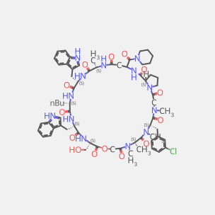 CCCC[C@@H]1NC(=O)[C@H](Cc2c[nH]c3ccccc23)NC(=O)[C@H](C)NC(=O)CC(C(=O)N2CCCCC2)NC(=O)[C@@H]2CCCN2C(=O)CN(C)C(=O)[C@H](Cc2cccc(Cl)c2)N(C)C(=O)[C@H](C)N(C)C(=O)COC(=O)[C@H](CO)NC(=O)[C@H](Cc2c[nH]c3ccccc23)NC1=O